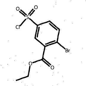 CCOC(=O)c1cc(S(=O)(=O)Cl)ccc1Br